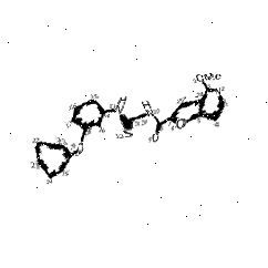 COc1nccc2oc(C(=O)NC(=S)Nc3cccc(Oc4ccccc4)c3)cc12